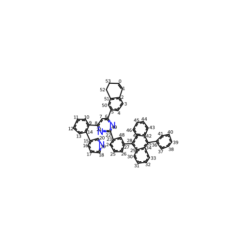 C1=Cc2ccc(-c3cc(-c4ccccc4-c4cccnc4)nc(-c4cccc(-c5c6ccccc6c(-c6ccccc6)c6ccccc56)c4)n3)cc2CC1